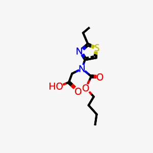 CCCCOC(=O)N(CC(=O)O)c1csc(CC)n1